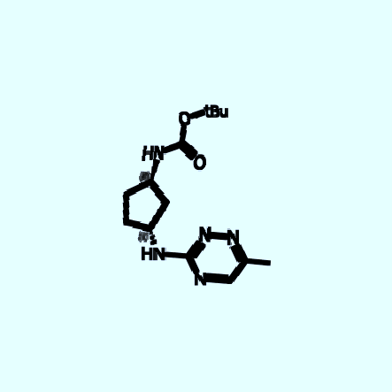 Cc1cnc(N[C@@H]2CC[C@@H](NC(=O)OC(C)(C)C)C2)nn1